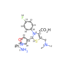 CC(C)N.CN(C)CC1=C(C(=O)O)N(c2ccc(F)cc2)C(c2cnoc2)S1